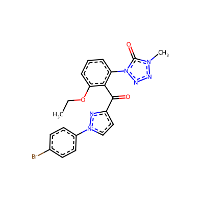 CCOc1cccc(-n2nnn(C)c2=O)c1C(=O)c1ccn(-c2ccc(Br)cc2)n1